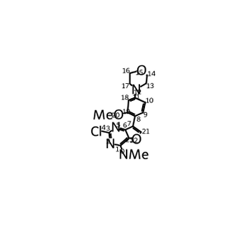 CNc1nc(Cl)nc2c(-c3ccc(N4CCOCC4)cc3OC)coc12